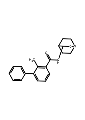 Cc1c(C(=O)NC2CN3CCC2CC3)cccc1-c1ccccc1